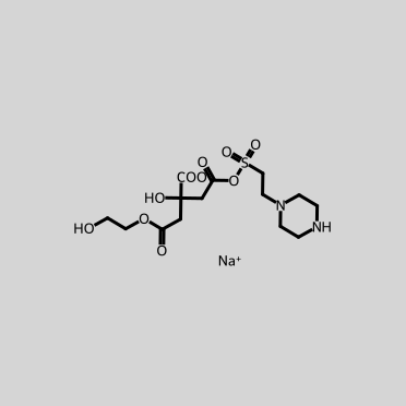 O=C(CC(O)(CC(=O)OS(=O)(=O)CCN1CCNCC1)C(=O)[O-])OCCO.[Na+]